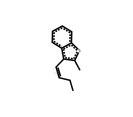 CC/C=C\c1c(C)sc2ccccc12